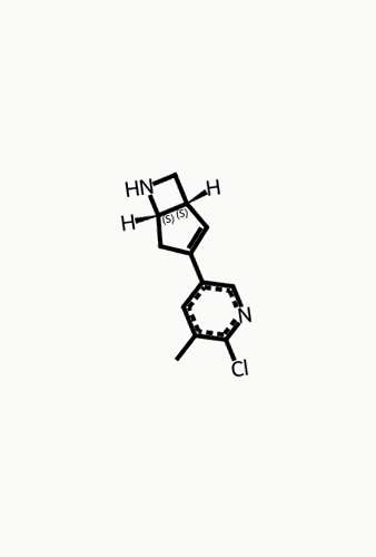 Cc1cc(C2=C[C@H]3CN[C@H]3C2)cnc1Cl